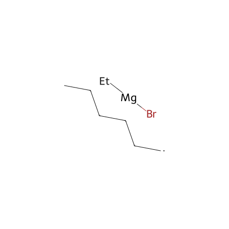 C[CH2][Mg][Br].[CH2]CCCCC